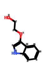 OCCOc1c[nH]c2ccccc12